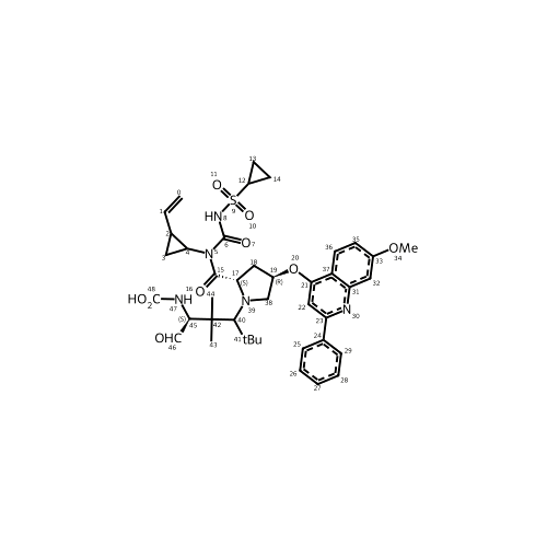 C=CC1CC1N(C(=O)NS(=O)(=O)C1CC1)C(=O)[C@@H]1C[C@@H](Oc2cc(-c3ccccc3)nc3cc(OC)ccc23)CN1C(C(C)(C)C)C(C)(C)[C@@H](C=O)NC(=O)O